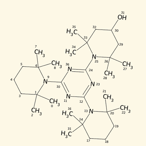 CC1(C)CCCC(C)(C)N1c1nc(N2C(C)(C)CCCC2(C)C)nc(N2C(C)(C)CC(O)CC2(C)C)n1